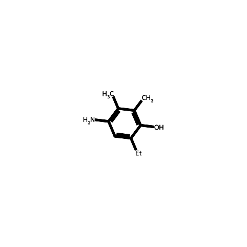 CCc1cc(N)c(C)c(C)c1O